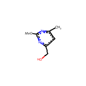 COc1nc(C)cc(CO)n1